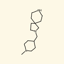 CN1CCC(CN2CCC3(CCNCC3)C2)CC1